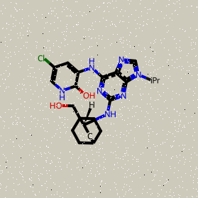 CC(C)n1cnc2c(NC3=CC(Cl)=CNC3O)nc(N[C@@H]3CC4CCC3(CO)CC4)nc21